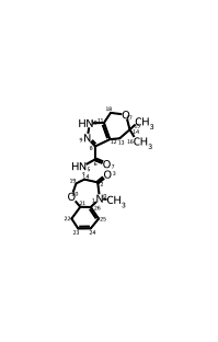 CN1C(=O)[C@@H](NC(=O)c2n[nH]c3c2CC(C)(C)OC3)COC2CC=CC=C21